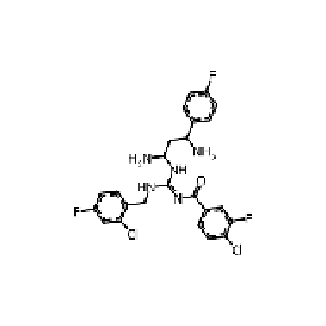 NC(CC(N)c1ccc(F)cc1)N/C(=N\C(=O)c1ccc(Cl)c(F)c1)NCc1ccc(F)cc1Cl